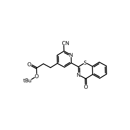 CC(C)(C)OC(=O)CCc1cc(C#N)nc(-c2nc(=O)c3ccccc3s2)c1